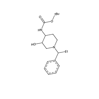 CCC(c1ccccc1)N1CCC(NC(=O)OC(C)(C)C)C(O)C1